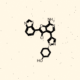 Nc1ncc(-c2cnn([C@H]3CC[C@H](O)CC3)c2)c2c(Cl)c(-c3cccc4ncsc34)oc12